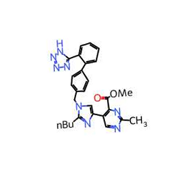 CCCCc1nc(-c2cnc(C)nc2C(=O)OC)cn1Cc1ccc(-c2ccccc2-c2nnn[nH]2)cc1